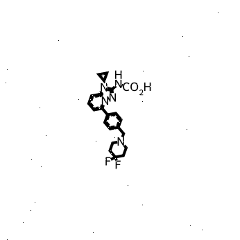 C1CC1.O=C(O)Nc1nc2cccc(-c3ccc(CN4CCC(F)(F)CC4)cc3)n2n1